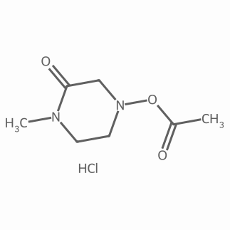 CC(=O)ON1CCN(C)C(=O)C1.Cl